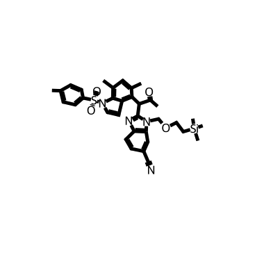 CC(=O)C(c1c(C)cc(C)c2c1ccn2S(=O)(=O)c1ccc(C)cc1)c1nc2ccc(C#N)cc2n1COCC[Si](C)(C)C